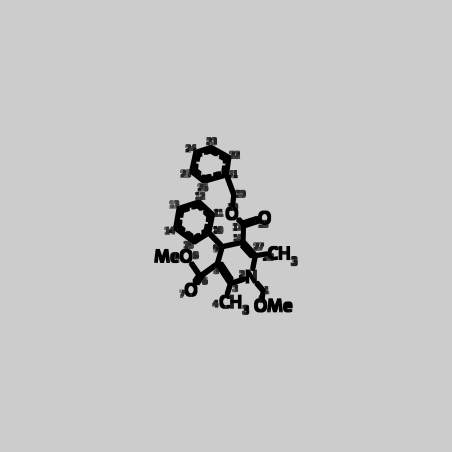 COCN1C(C)=C(C(=O)OC)C(c2ccccc2)C(C(=O)OCc2ccccc2)=C1C